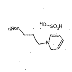 CCCCCCCCCCCCN1C=CC=CC1.O=S(=O)(O)O